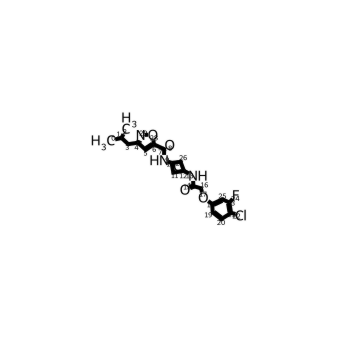 CC(C)Cc1cc(C(=O)NC23CC(NC(=O)COc4ccc(Cl)c(F)c4)(C2)C3)on1